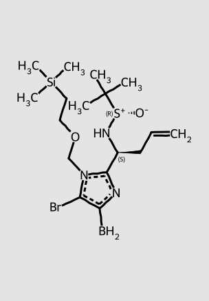 Bc1nc([C@H](CC=C)N[S@@+]([O-])C(C)(C)C)n(COCC[Si](C)(C)C)c1Br